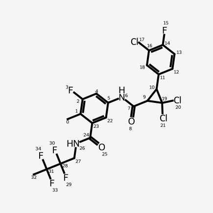 Cc1c(F)cc(NC(=O)C2C(c3ccc(F)c(Cl)c3)C2(Cl)Cl)cc1C(=O)NCC(F)(F)C(C)(F)F